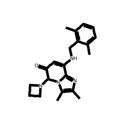 Cc1cccc(C)c1CNC1=CC(=O)C(N2CCC2)n2c1nc(C)c2C